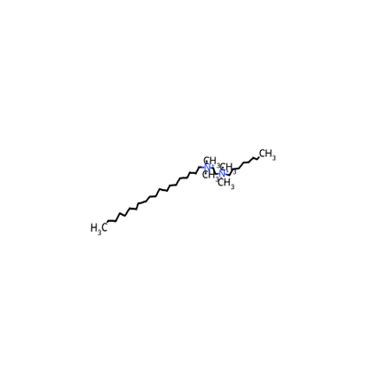 CCCCCCCCCCCCCCCCCCCC[N+](C)(C)CC[N+](C)(C)CCCCCCCC